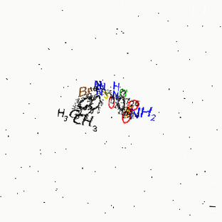 CC1(C)Cc2ccc(-n3c(Br)nnc3SCC(=O)Nc3ccc(S(N)(=O)=O)cc3Cl)c3cccc1c23